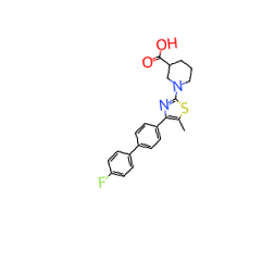 Cc1sc(N2CCCC(C(=O)O)C2)nc1-c1ccc(-c2ccc(F)cc2)cc1